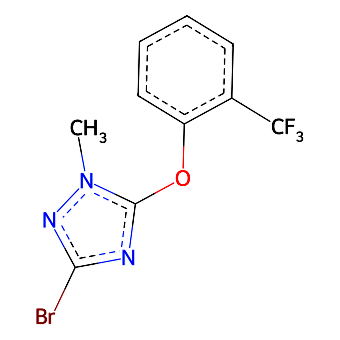 Cn1nc(Br)nc1Oc1ccccc1C(F)(F)F